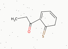 CCC(=O)C1=CC=CCC1=S